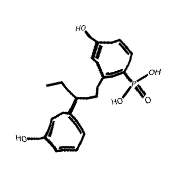 CCC(Cc1cc(O)ccc1P(=O)(O)O)c1cccc(O)c1